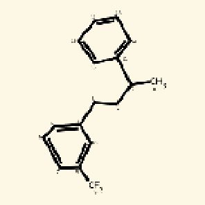 CC(C[CH]c1cccc(C(F)(F)F)c1)c1ccccc1